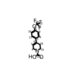 O=C(O)N1CC=C(c2ccc(OC(F)(F)F)cc2)CC1